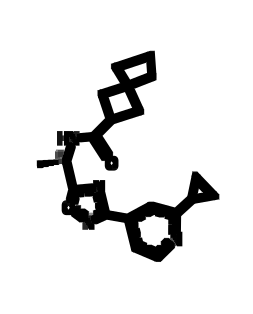 C[C@H](NC(=O)C1CC2(CCC2)C1)c1nc(-c2ccnc(C3CC3)c2)no1